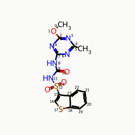 COc1nc(C)nc(NC(=O)NS(=O)(=O)c2csc3ccccc23)n1